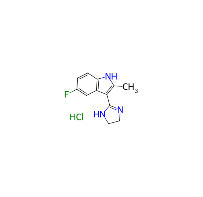 Cc1[nH]c2ccc(F)cc2c1C1=NCCN1.Cl